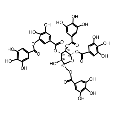 O=C(OC[C@H]1O[C@@H](OC(=O)c2cc(O)c(O)c(O)c2)[C@H](OC(=O)c2cc(O)c(O)c(O)c2)[C@@H](OC(=O)c2cc(O)c(O)c(OC(=O)c3cc(O)c(O)c(O)c3)c2)[C@@H]1O)c1cc(O)c(O)c(O)c1